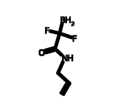 BC(F)(F)C(=O)NCC=C